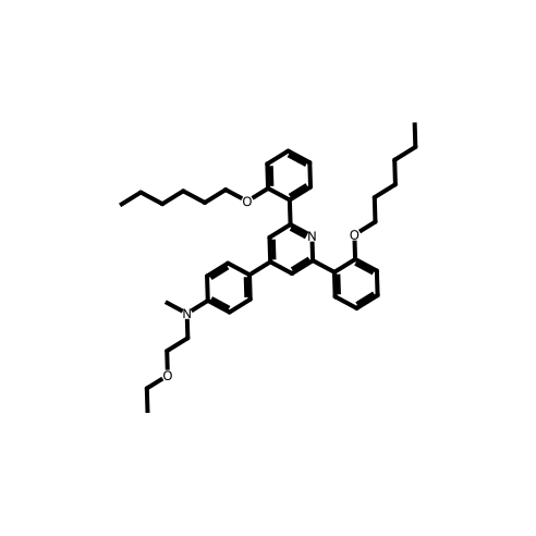 CCCCCCOc1ccccc1-c1cc(-c2ccc(N(C)CCOCC)cc2)cc(-c2ccccc2OCCCCCC)n1